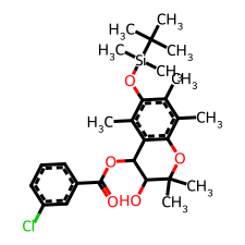 Cc1c(C)c2c(c(C)c1O[Si](C)(C)C(C)(C)C)C(OC(=O)c1cccc(Cl)c1)C(O)C(C)(C)O2